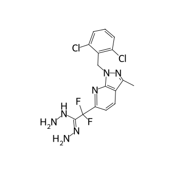 Cc1nn(Cc2c(Cl)cccc2Cl)c2nc(C(F)(F)/C(=N/N)NN)ccc12